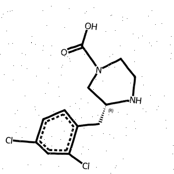 O=C(O)N1CCN[C@H](Cc2ccc(Cl)cc2Cl)C1